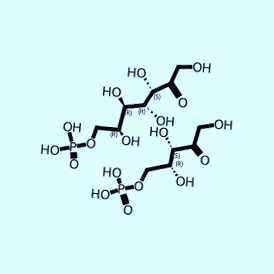 O=C(CO)[C@@H](O)[C@H](O)COP(=O)(O)O.O=C(CO)[C@@H](O)[C@H](O)[C@H](O)[C@H](O)COP(=O)(O)O